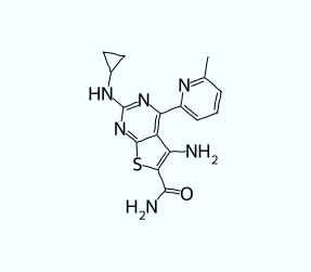 Cc1cccc(-c2nc(NC3CC3)nc3sc(C(N)=O)c(N)c23)n1